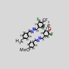 COc1ccc(C=NN=Cc2cc(F)c(OC(F)(F)F)c(F)c2)cc1.Cc1ccc(C=NN=Cc2ccc(C(F)(F)F)c(F)c2)cc1